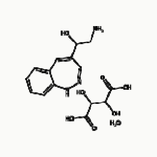 NCC(O)C1=Cc2ccccc2NN=C1.O.O=C(O)C(O)C(O)C(=O)O